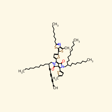 C#CC#CC#CC#CC(CCCCCCCCCC)CN1C(=O)C2=C(c3ccc(C)s3)N(CC(CCCCCCCC)CCCCCCCCCC)C(=O)C2=C1c1ccc(-c2sc(C)c3nc(CCCCCCCC)sc23)s1